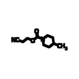 CC1CCN(C(=O)OCCC#N)CC1